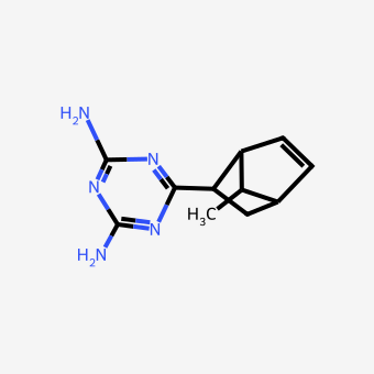 CC1C2C=CC1C(c1nc(N)nc(N)n1)C2